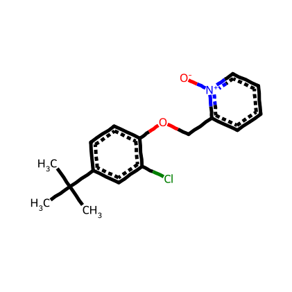 CC(C)(C)c1ccc(OCc2cccc[n+]2[O-])c(Cl)c1